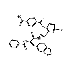 O=C(N/N=C/c1cc(Br)ccc1OC(=O)c1ccc([N+](=O)O)cc1)/C(=C\c1ccc2c(c1)OCC2)NC(=O)c1ccccc1